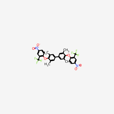 Cc1cc(-c2cc(C)c(Oc3ccc([N+](=O)[O-])cc3C(F)(F)F)c(C)c2)cc(C)c1Oc1ccc([N+](=O)[O-])cc1C(F)(F)F